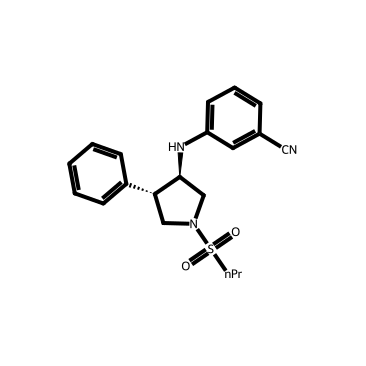 CCCS(=O)(=O)N1C[C@H](Nc2cccc(C#N)c2)[C@@H](c2ccccc2)C1